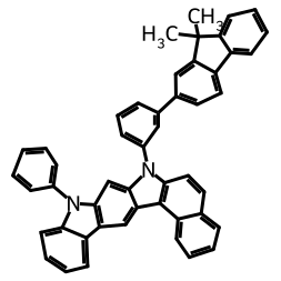 CC1(C)c2ccccc2-c2ccc(-c3cccc(-n4c5cc6c(cc5c5c7ccccc7ccc54)c4ccccc4n6-c4ccccc4)c3)cc21